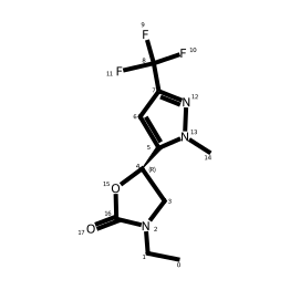 CCN1C[C@H](c2cc(C(F)(F)F)nn2C)OC1=O